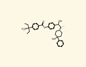 CCC(N)(CC)c1ccc(C(=O)Oc2ccc(C(O)[C@H](C)N3CCC(O)(c4ccccc4)CC3)cc2)cc1